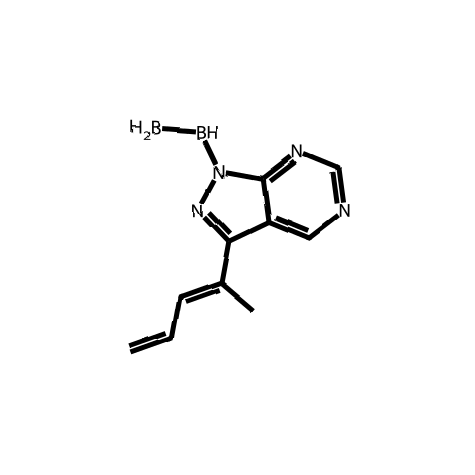 BBn1nc(/C(C)=C/C=C)c2cncnc21